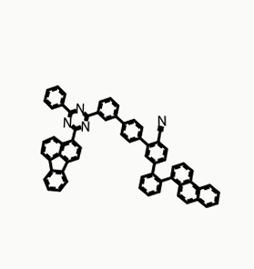 N#Cc1ccc(-c2ccccc2-c2cccc3c2ccc2ccccc23)cc1-c1ccc(-c2cccc(-c3nc(-c4ccccc4)nc(-c4ccc5c6c(cccc46)-c4ccccc4-5)n3)c2)cc1